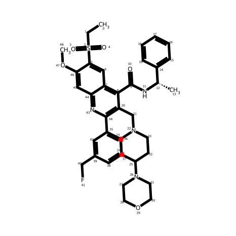 CCS(=O)(=O)c1cc2c(C(=O)N[C@@H](C)c3ccccc3)c(CN3CCC(N4CCOCC4)CC3)c(-c3cccc(CF)c3)nc2cc1OC